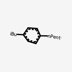 CCCC[CH]c1ccc(C(C)CC)cc1